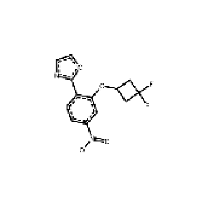 O=[N+]([O-])c1ccc(-c2ncco2)c(OC2CC(F)(F)C2)c1